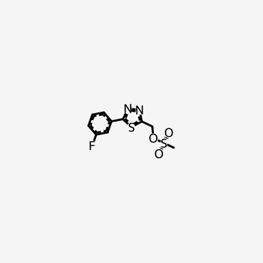 CS(=O)(=O)OCc1nnc(-c2cccc(F)c2)s1